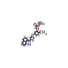 Cc1ccc(CN2CCC(Nc3cccc4cnccc34)C2)cc1OCC(=O)OC(C)(C)C